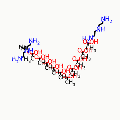 CC(=O)O.CC(=O)O.CC(=O)O.CC(=O)O.CC(=O)O.CC(=O)O.CC(=O)O.CC(=O)O.CC(=O)O.CC(=O)O.NCCNCCN.NCCNCCN.[Na].[Na]